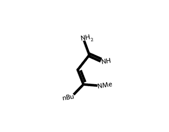 CCCC/C(=C/C(=N)N)NC